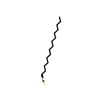 CCCCCCCCCCCCCCC=C=S